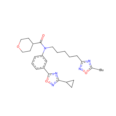 CC(C)(C)c1nc(CCCCCN(C(=O)C2CCOCC2)c2cccc(-c3nc(C4CC4)no3)c2)no1